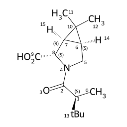 C[C@H](C(=O)N1C[C@H]2[C@@H]([C@H]1C(=O)O)C2(C)C)C(C)(C)C